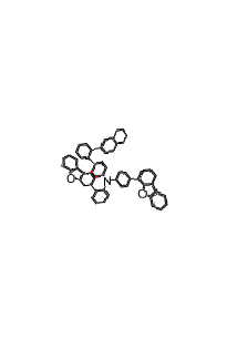 c1ccc(-c2ccc3ccccc3c2)c(-c2ccc(N(c3ccc(-c4cccc5c4oc4ccccc45)cc3)c3ccccc3-c3ccc4c(c3)oc3ccccc34)cc2)c1